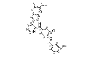 C=CC(=O)N(C)Cc1cc(-c2cncnc2Nc2ccc(OCc3cccc(F)c3)c(Cl)c2)on1